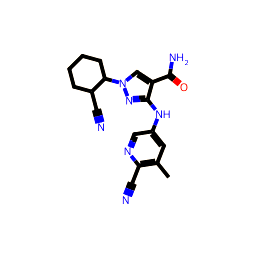 Cc1cc(Nc2nn(C3CCCCC3C#N)cc2C(N)=O)cnc1C#N